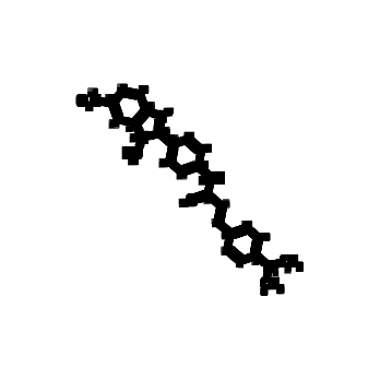 CN(C)c1ccc(/C=C/C(=O)Nc2ccc(-c3nc4ccc([N+](=O)[O-])cc4n3O)cc2)cc1